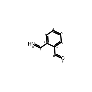 N=[C]c1ccccc1[C]=O